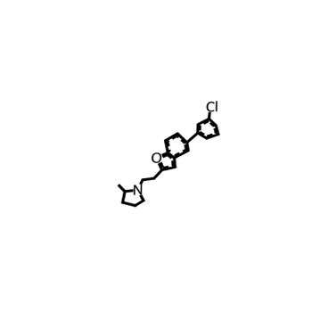 CC1CCCN1CCc1cc2cc(-c3cccc(Cl)c3)ccc2o1